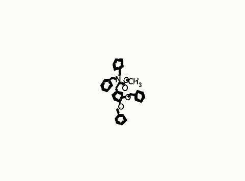 COC(=O)C(Cc1ccc(OCc2ccccc2)c(OCc2ccccc2)c1)N(Cc1ccccc1)Cc1ccccc1